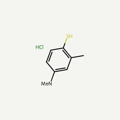 CNc1ccc(S)c(C)c1.Cl